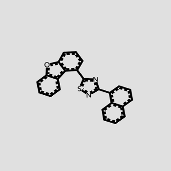 c1ccc2c(-c3nsc(-c4cccc5oc6ccccc6c45)n3)cccc2c1